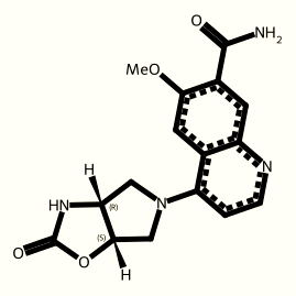 COc1cc2c(N3C[C@@H]4OC(=O)N[C@@H]4C3)ccnc2cc1C(N)=O